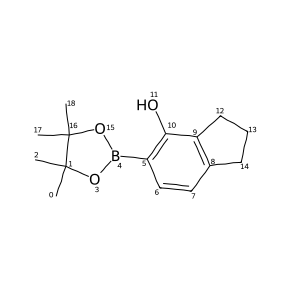 CC1(C)OB(c2ccc3c(c2O)CCC3)OC1(C)C